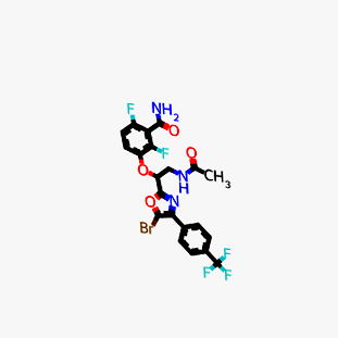 CC(=O)NCC(Oc1ccc(F)c(C(N)=O)c1F)c1nc(-c2ccc(C(F)(F)F)cc2)c(Br)o1